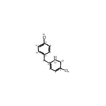 ClC1=CC=C(Cc2ccc(Cl)cc2)NC1